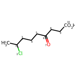 CC(Cl)[CH]CCC(=O)CCC(=O)O